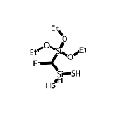 CCO[Si](OCC)(OCC)C(CC)[SiH](S)S